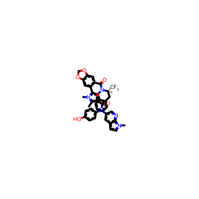 Cc1c(C(=O)N(c2ccc(O)cc2)c2cnc3c(ccn3C)c2)cc(-c2cc3c(cc2C(=O)N2Cc4ccccc4C[C@H]2C(F)(F)F)OCO3)n1C